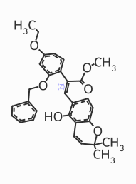 CCOc1ccc(/C(=C/c2ccc3c(c2O)C=CC(C)(C)O3)C(=O)OC)c(OCc2ccccc2)c1